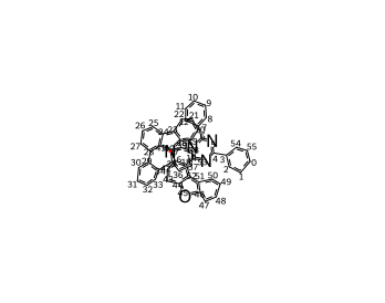 c1ccc(-c2nc(-c3ccccc3)nc(-c3c(-n4c5ccccc5c5cccc(-c6ccccc6-c6ccccc6)c54)ccc4oc5ccccc5c34)n2)cc1